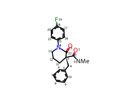 CNC(=O)[C@]1(Cc2ccccc2)CCCN(c2ccc(F)cc2)C1=O